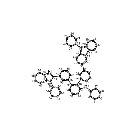 c1ccc(B2c3ccc(-c4ccc5c(c4)c4ccccc4n5-c4ccccc4)cc3-c3c2cccc3-c2cccc(-c3nc4ccccn4c3-c3ccccc3)c2)cc1